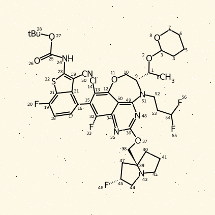 CC(OC1CCCCO1)[C@H]1COc2c(Cl)c(-c3ccc(F)c4sc(NC(=O)OC(C)(C)C)c(C#N)c34)c(F)c3nc(OC[C@@]45CCCN4C[C@H](F)C5)nc(c23)N1CCC(F)F